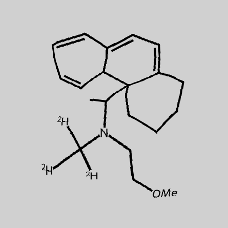 [2H]C([2H])([2H])N(CCOC)C(C)C12CCCCC1=CC=C1C=CC=CC12